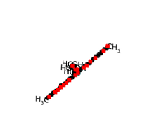 CCCCCCCCCCCCCCCCCCCCCCOCCCCCCCCCCCCCCCCCCCCCC.OCC(O)CO.OCC(O)CO